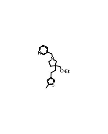 CCOCC1(CCc2csc(C)c2)CCN(Cc2cccnc2)C1